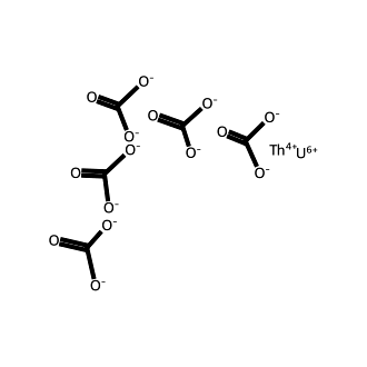 O=C([O-])[O-].O=C([O-])[O-].O=C([O-])[O-].O=C([O-])[O-].O=C([O-])[O-].[Th+4].[U+6]